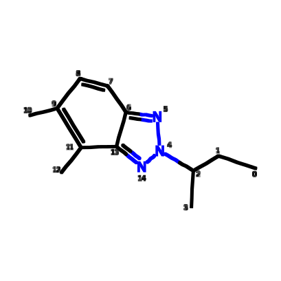 CCC(C)n1nc2ccc(C)c(C)c2n1